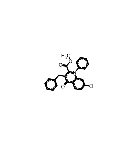 COC(=O)c1c(Cc2ccccc2)c(=O)c2ccc(Cl)cc2n1-c1ccccc1